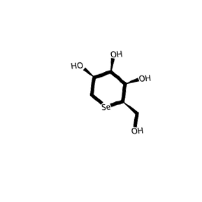 OC[C@H]1[Se]C[C@@H](O)[C@@H](O)[C@H]1O